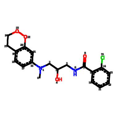 CN(CC(O)CNC(=O)c1ccccc1Cl)c1ccc2c(c1)OOCC2